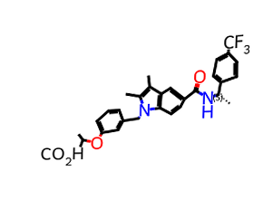 Cc1c(C)n(Cc2cccc(OC(C)C(=O)O)c2)c2ccc(C(=O)N[C@@H](C)c3ccc(C(F)(F)F)cc3)cc12